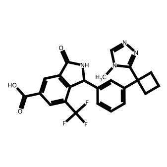 Cn1cnnc1C1(c2cccc(C3NC(=O)c4cc(C(=O)O)cc(C(F)(F)F)c43)c2)CCC1